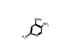 Bc1cc(NC)c(N)cn1